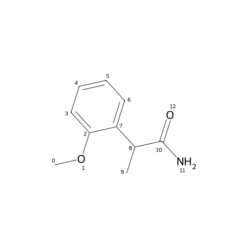 COc1ccccc1C(C)C(N)=O